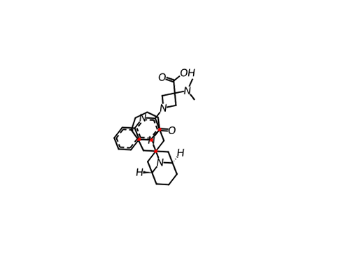 CN(C)C1(C(=O)O)CN(c2nc3ccccc3n(C3C[C@H]4CCC[C@H](C3)N4C3CC4CCCCC(C4)C3)c2=O)C1